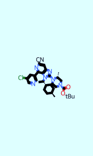 CC([C@H]1CC[C@H](C)CC1)n1c(N2CCN(C(=O)OC(C)(C)C)C[C@H]2C)nc2cc(C#N)nc(-c3cncc(Cl)c3)c21